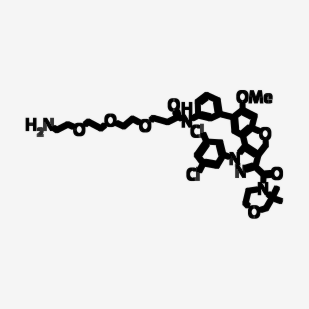 COc1cc2c(cc1-c1cccc(NC(=O)CCOCCOCCOCCN)c1)-c1c(c(C(=O)N3CCOCC3(C)C)nn1-c1cc(Cl)cc(Cl)c1)CO2